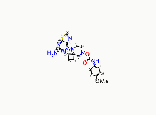 COc1ccc(NC(=O)ON2CCN(c3nc(N)nc4scnc34)C3(CCC3)C2)cc1